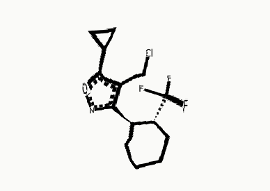 FC(F)(F)[C@@H]1CCCC[C@H]1c1noc(C2CC2)c1CCl